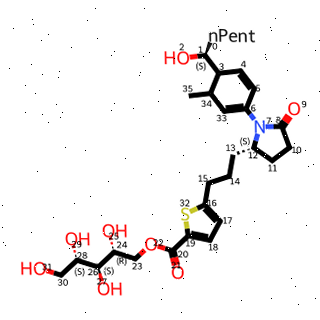 CCCCC[C@H](O)C1C=CC(N2C(=O)CC[C@@H]2CCCc2ccc(C(=O)OC[C@@H](O)[C@@H](O)[C@@H](O)CO)s2)=CC1C